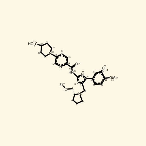 CCOC[C@H]1CCCN1Cc1sc(NC(=O)c2cnc(N3CCC(C(=O)O)CC3)cn2)nc1-c1ccc(OC)c(C(F)(F)F)c1